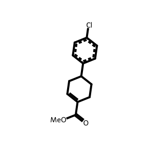 COC(=O)C1=CCC(c2ccc(Cl)cc2)CC1